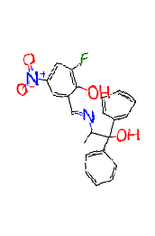 CC(N=Cc1cc([N+](=O)[O-])cc(F)c1O)C(O)(c1ccccc1)c1ccccc1